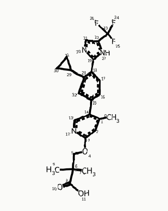 Cc1cc(OCC(C)(C)C(=O)O)ncc1-c1ccc(-c2ncc(C(F)(F)F)[nH]2)c(C2CC2)c1